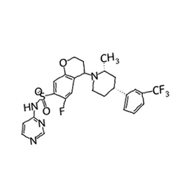 C[C@@H]1C[C@H](c2cccc(C(F)(F)F)c2)CCN1C1CCOc2cc(S(=O)(=O)Nc3ccncn3)c(F)cc21